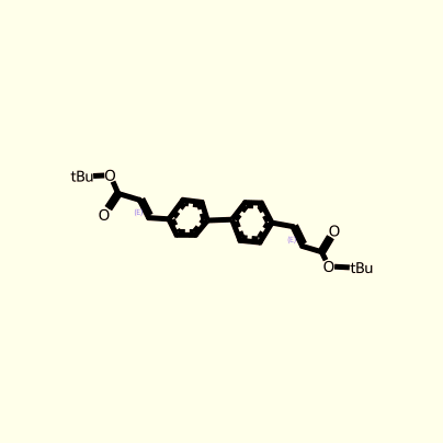 CC(C)(C)OC(=O)/C=C/c1ccc(-c2ccc(/C=C/C(=O)OC(C)(C)C)cc2)cc1